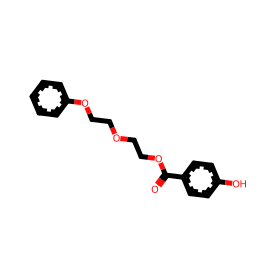 O=C(OCCOCCOc1ccccc1)c1ccc(O)cc1